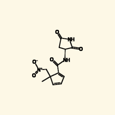 CC1(C[N+](=O)[O-])C=CC=C1C(=O)NC1CC(=O)NC1=O